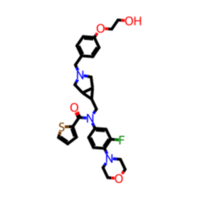 O=C(c1cccs1)N(CC1C2CN(Cc3ccc(OCCO)cc3)CC21)c1ccc(N2CCOCC2)c(F)c1